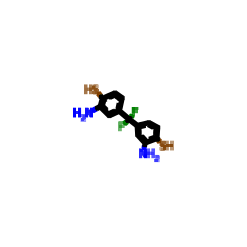 Nc1cc(C(F)(F)c2ccc(S)c(N)c2)ccc1S